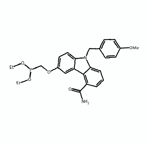 CCOP(COc1ccc2c(c1)c1c(C(N)=O)cccc1n2Cc1ccc(OC)cc1)OCC